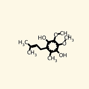 COc1c(O)c(C)c(CC=C(C)C)c(O)c1OC